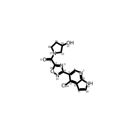 O=C(c1nc(-c2cnc3[nH]ccc3c2Cl)no1)N1CCC(O)C1